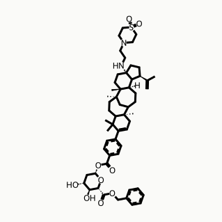 C=C(C)[C@@H]1CC[C@]2(NCCN3CCS(=O)(=O)CC3)CC[C@]3(C)[C@H](CCC4C[C@@]3(C)CCC3C(C)(C)C(c5ccc(C(=O)O[C@H]6C[C@@H](O)[C@H](O)[C@@H](C(=O)OCc7ccccc7)O6)cc5)=CC[C@]43C)C12